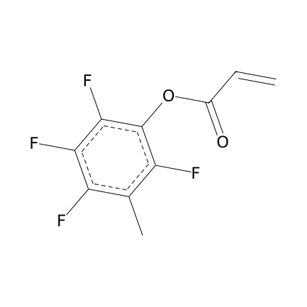 C=CC(=O)Oc1c(F)c(C)c(F)c(F)c1F